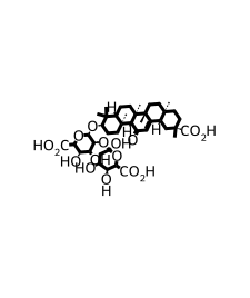 CC1(C)[C@@H](O[C@H]2OC(C(=O)O)[C@@H](O)C(O)[C@@H]2OC2(O)C[C@H](O)[C@H](O)C(C(=O)O)O2)CC[C@]2(C)[C@H]3C(=O)C=C4[C@@H]5C[C@@](C)(C(=O)O)CC[C@]5(C)CC[C@@]4(C)[C@]3(C)CC[C@@H]12